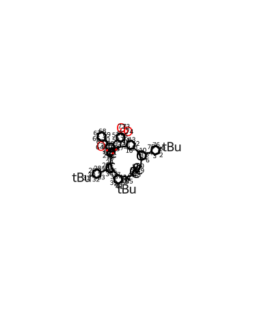 CC(C)(C)c1ccc(-c2cc3cc(c2)-c2cccc(c2)C2(c4cccc(c4)-c4cc(-c5ccc(C(C)(C)C)cc5)cc(c4)-c4ccc(C(C)(C)C)cc4C(C)(C)c4ccc-3cc4)c3cc4c(cc3-c3c2ccc2oc5ccccc5c32)OCO4)cc1